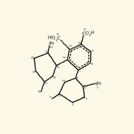 CC1CCC(C(C)C)C(c2ccc(C(=O)O)c(C(=O)O)c2C2CC(C)CCC2C(C)C)C1